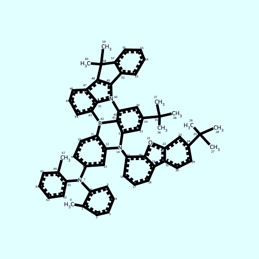 Cc1ccccc1N(c1ccc2c(c1)N(c1cccc3c1oc1cc(C(C)(C)C)ccc13)c1cc(C(C)(C)C)cc3c1B2c1cccc2c4c(n-3c12)-c1ccccc1C4(C)C)c1ccccc1C